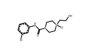 CCc1cccc(NC(=O)N2CC[N+]([O-])(CCO)CC2)c1